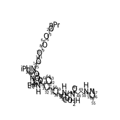 CCCOCCOCCOCCOCCOCCNC(=O)[C@H](CC(C)C)NC(=O)[C@H](CC)NC(=O)c1ccc(-c2ccc([C@H](CC(=O)O)NC(=O)CNC(=O)CCCNc3cc(C)ccn3)cc2)c2ccccc12